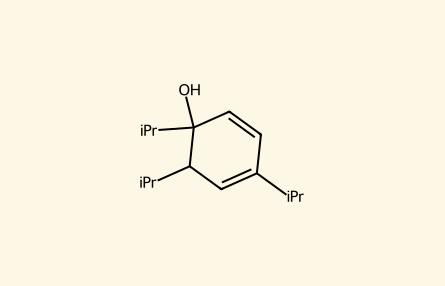 CC(C)C1=CC(C(C)C)C(O)(C(C)C)C=C1